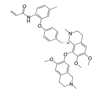 C=CC(=O)Nc1ccc(C)cc1Oc1ccc(C[C@H]2c3c(cc(OC)c(OC)c3Oc3cc4c(cc3OC)CCN(C)C4)CCN2C)cc1